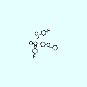 O=C(CC[C@@H]1C(=O)N(c2ccc(F)cc2)[C@@H]1c1ccc(OCc2ccccc2)cc1)c1ccc(F)cc1